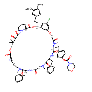 COc1ccc(CC[C@H]2OC(=O)[C@@H]3CCCCN3C(=O)C(=O)C(C)(C)COC(=O)/C=C/CCN(C)C(=O)[C@@H](Cc3ccccc3)NC(=O)CN(C)C(=O)C(Cc3ccccc3)NC(=O)[C@H](Cc3ccc(OC(=O)N4CCOCC4)cc3)N(C)C(=O)COc3cc(F)cc2c3)cc1OC